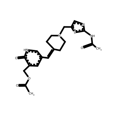 CC(=O)Nc1ncc(CN2CCC(=Cc3c[nH]c(=O)c(COC(C)=O)c3)CC2)s1